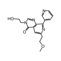 COCCc1cc2c(=O)n(CCO)cnc2c(-c2cccnc2)n1